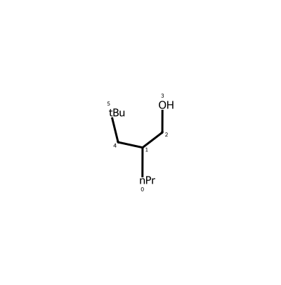 CCCC(CO)CC(C)(C)C